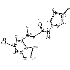 Cc1ccc(NC(=O)CN(C)c2nc(Cl)nc3c2CCC3)cn1